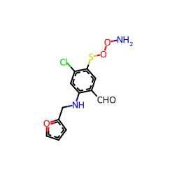 NOOSc1cc(C=O)c(NCc2ccco2)cc1Cl